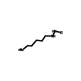 CCCCCCCCCNNCl